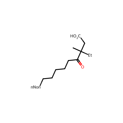 CCCCCCCCCCCCCCC(=O)C(C)(CC)CC(=O)O